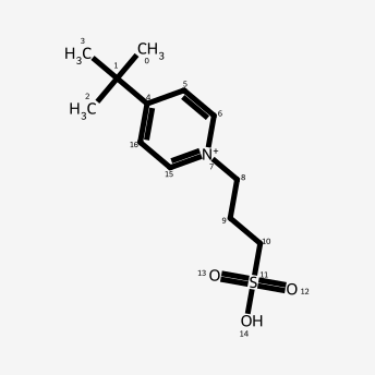 CC(C)(C)c1cc[n+](CCCS(=O)(=O)O)cc1